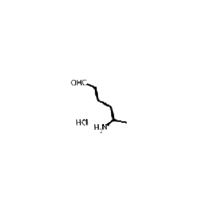 CC(N)CCCC=O.Cl